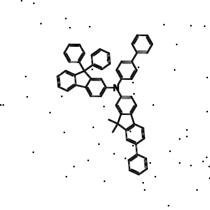 CC1(C)c2cc(-c3ccccc3)ccc2-c2ccc(N(c3ccc(-c4ccccc4)cc3)c3ccc4c(c3)C(c3ccccc3)(c3ccccc3)c3ccccc3-4)cc21